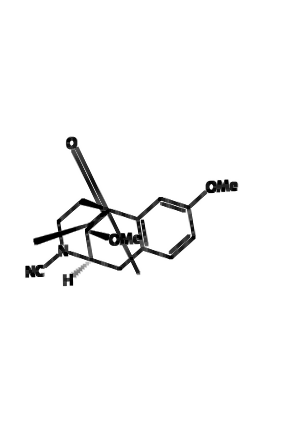 COc1ccc2c(c1)[C@]13CCN(C#N)[C@H](C2)[C@]1(OC)[C@H](C)CC(=O)C3